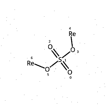 O=S(=O)([O][Re])[O][Re]